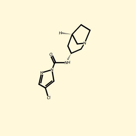 O=C(N[C@@H]1C[C@H]2CCN(C2)C1)n1cc(Cl)cn1